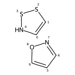 C1=CSSN1.c1cnoc1